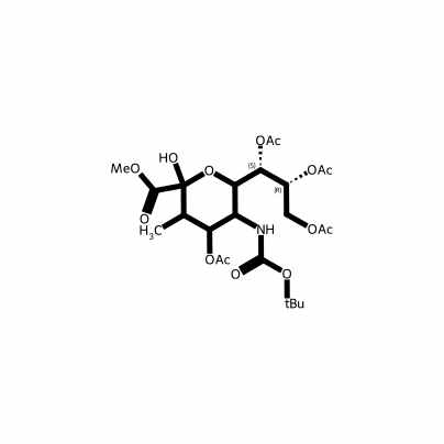 COC(=O)C1(O)OC([C@H](OC(C)=O)[C@@H](COC(C)=O)OC(C)=O)C(NC(=O)OC(C)(C)C)C(OC(C)=O)C1C